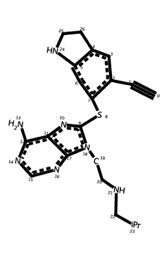 C#Cc1cc2c(cc1Sc1nc3c(N)ncnc3n1CCNCC(C)C)NCC2